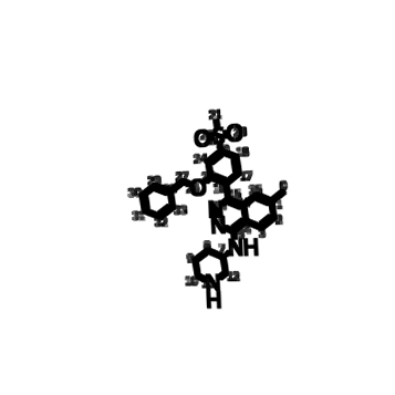 Cc1ccc2c(N[C@@H]3CCCNC3)nnc(-c3ccc(S(C)(=O)=O)cc3OCc3ccccc3)c2c1